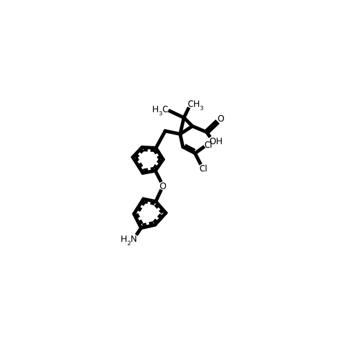 CC1(C)C(C(=O)O)C1(C=C(Cl)Cl)Cc1cccc(Oc2ccc(N)cc2)c1